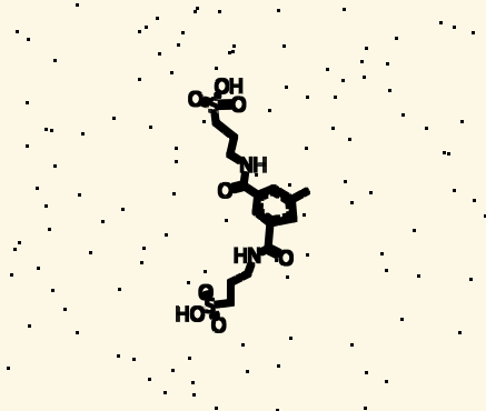 Cc1cc(C(=O)NCCCS(=O)(=O)O)cc(C(=O)NCCCS(=O)(=O)O)c1